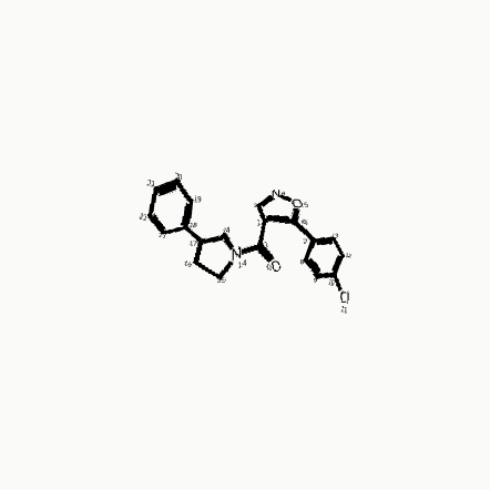 O=C(c1cnoc1-c1ccc(Cl)cc1)N1CCC(c2ccccc2)C1